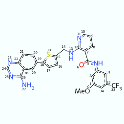 COc1cc(NC(=O)c2cccnc2NCc2ccc(-c3ccc4ncnc(N)c4c3)s2)cc(C(F)(F)F)c1